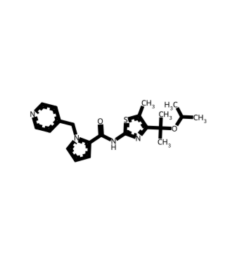 Cc1sc(NC(=O)c2cccn2Cc2ccncc2)nc1C(C)(C)OC(C)C